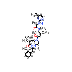 CC[C@H](C)[C@@H]([C@@H](CC(=O)N1CCC[C@H]1[C@H](OC)[C@@H](C)C(=O)N[C@@](C)(Cc1ccccc1)C(=O)O)OC)N(C)C(=O)[C@@H](Nc1nccc(C)n1)C(C)C